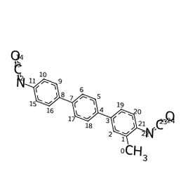 Cc1cc(-c2ccc(-c3ccc(N=C=O)cc3)cc2)ccc1N=C=O